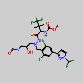 COC(=O)NC(C(=O)NN(Cc1c(F)cc(-c2ccn(C(F)F)n2)cc1F)CC(O)CNC=O)C(C)(C)C(F)(F)F